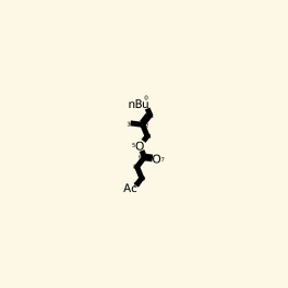 CCCC/C=C(\C)COC(=O)CCC(C)=O